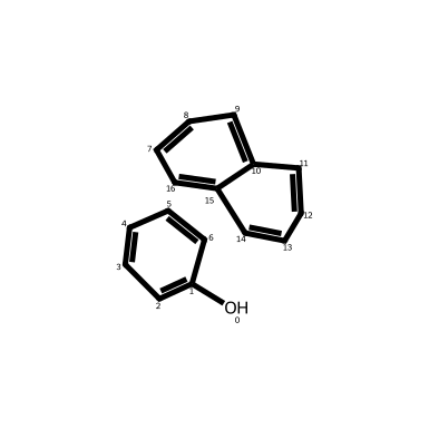 Oc1ccccc1.c1ccc2ccccc2c1